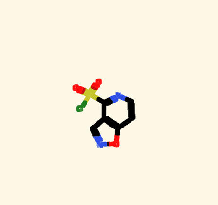 O=S(=O)(Cl)c1nccc2oncc12